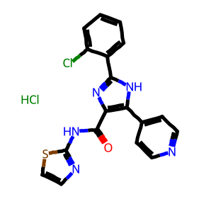 Cl.O=C(Nc1nccs1)c1nc(-c2ccccc2Cl)[nH]c1-c1ccncc1